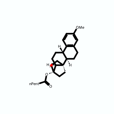 CCCCCC(=O)O[C@]12CC[C@]3(CC1)[C@@H]1CCc4cc(OC)ccc4[C@H]1CC[C@]23C